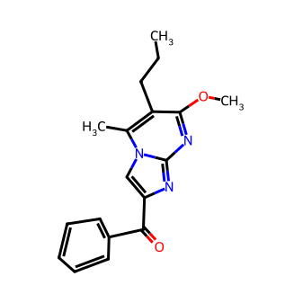 CCCc1c(OC)nc2nc(C(=O)c3ccccc3)cn2c1C